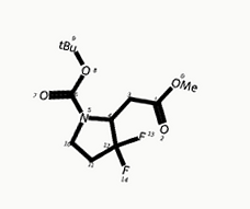 COC(=O)CC1N(C(=O)OC(C)(C)C)CCC1(F)F